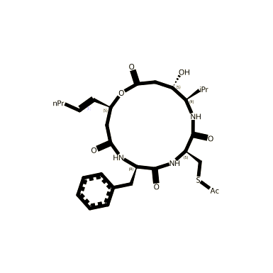 CCC/C=C/[C@@H]1CC(=O)N[C@H](Cc2ccccc2)C(=O)N[C@H](CSC(C)=O)C(=O)N[C@H](C(C)C)[C@@H](O)CC(=O)O1